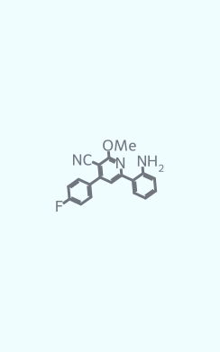 COc1nc(-c2ccccc2N)cc(-c2ccc(F)cc2)c1C#N